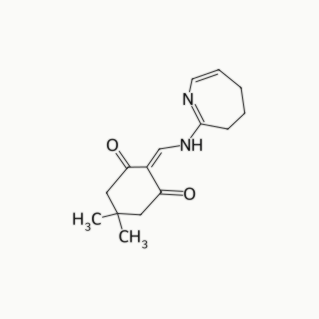 CC1(C)CC(=O)C(=CNC2=NC=CCCC2)C(=O)C1